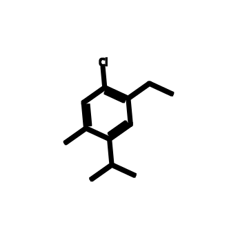 CCc1cc(C(C)C)c(C)cc1Cl